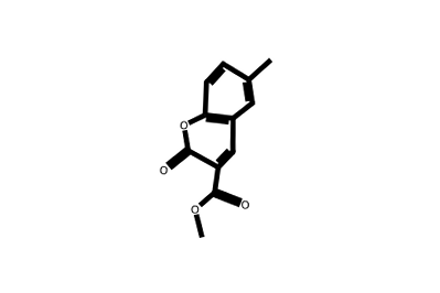 COC(=O)c1cc2cc(C)ccc2oc1=O